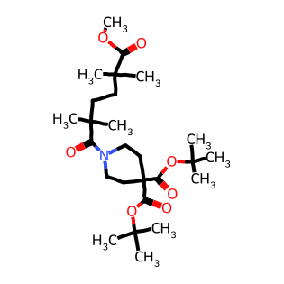 COC(=O)C(C)(C)CCC(C)(C)C(=O)N1CCC(C(=O)OC(C)(C)C)(C(=O)OC(C)(C)C)CC1